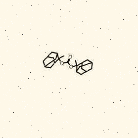 CC1(OC(=O)OC2(C)C3CC4CC(C3)CC2C4)C2CC3CC(C2)CC1C3